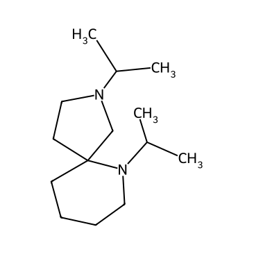 CC(C)N1CCC2(CCCCN2C(C)C)C1